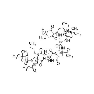 CCCCN1C(=O)[C@@H]2C[C@@]3(CN2C(=O)[C@@]12C[C@@H](C(C)=O)N(C(=O)OC(C)(C)C)C2)NC(=O)C1C[C@@](NC(=O)[C@H](CNC(CC(C)C)=C2C(=O)CC(C)(C)CC2=O)NC(=O)OC(C)(C)C)(C(C)=O)CN1C3=O